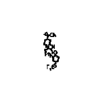 CCSc1c(-c2nc3cc(SC(F)(F)F)ccc3o2)nc2cc(C3(C#N)CC3)ccn12